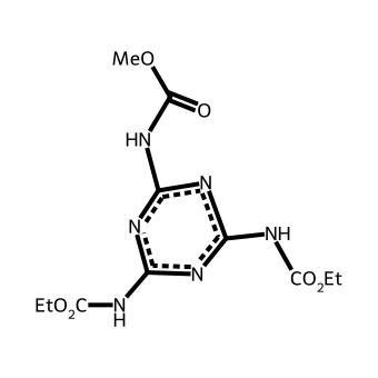 CCOC(=O)Nc1nc(NC(=O)OC)nc(NC(=O)OCC)n1